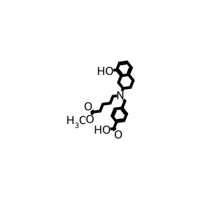 COC(=O)CCCCN(Cc1ccc(C(=O)O)cc1)C1CCc2cccc(O)c2C1